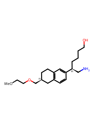 COCCOC[C@H]1CCc2cc([C@H](CN)CCCCO)ccc2C1